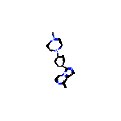 Cc1nccn2c(C3CCC(N4CCN(C)CC4)CC3)ncc12